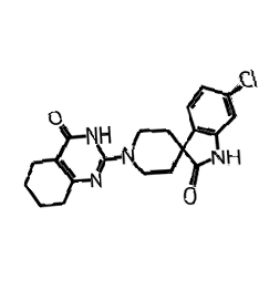 O=C1Nc2cc(Cl)ccc2C12CCN(c1nc3c(c(=O)[nH]1)CCCC3)CC2